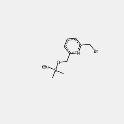 CC(C)(C)[Si](C)(C)OCc1cccc(CBr)n1